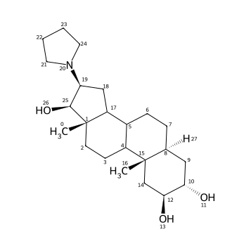 C[C@]12CCC3C(CC[C@H]4C[C@H](O)[C@@H](O)C[C@]34C)C1C[C@H](N1CCCC1)[C@@H]2O